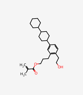 C=C(C)C(=O)OCCCc1cc(C2CCC(C3CCCCC3)CC2)ccc1CCO